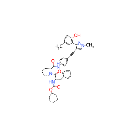 Cc1ccc(O)c(-c2nn(C)cc2C#Cc2ccc(NC(=O)C3CCCCN3C(=O)C(Cc3ccccc3)NC(=O)OC3CCCCC3)cc2)c1